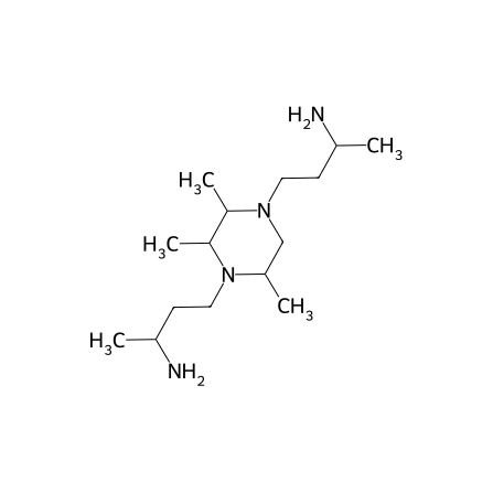 CC(N)CCN1CC(C)N(CCC(C)N)C(C)C1C